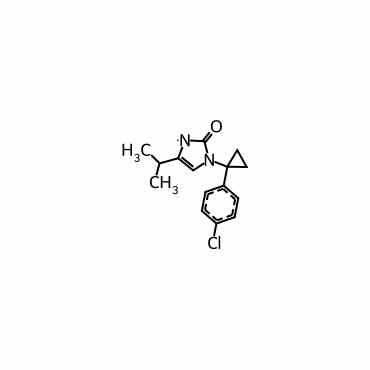 CC(C)C1=CN(C2(c3ccc(Cl)cc3)CC2)C(=O)[N]1